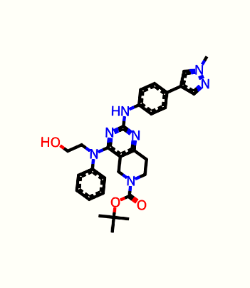 Cn1cc(-c2ccc(Nc3nc4c(c(N(CCO)c5ccccc5)n3)CN(C(=O)OC(C)(C)C)CC4)cc2)cn1